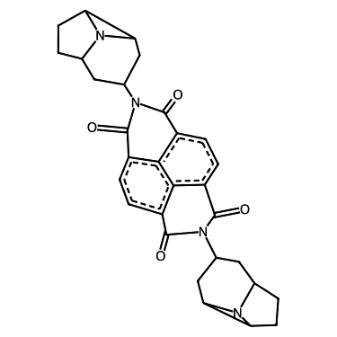 O=C1c2ccc3c4c(ccc(c24)C(=O)N1C1CC2CCC4C(C1)N24)C(=O)N(C1CC2CCC4C(C1)N24)C3=O